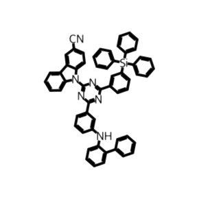 N#Cc1ccc2c(c1)c1ccccc1n2-c1nc(-c2cccc(Nc3ccccc3-c3ccccc3)c2)nc(-c2cccc([Si](c3ccccc3)(c3ccccc3)c3ccccc3)c2)n1